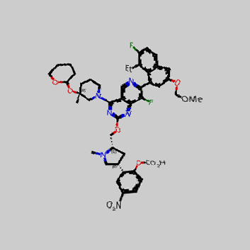 CCc1c(F)ccc2cc(OCOC)cc(-c3ncc4c(N5CCC[C@@](C)(OC6CCCCO6)C5)nc(OC[C@@H]5C[C@H](c6cc([N+](=O)[O-])ccc6OC(=O)O)CN5C)nc4c3F)c12